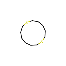 C1CCCSCCCCCSCC1